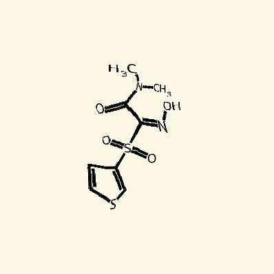 CN(C)C(=O)C(=NO)S(=O)(=O)c1ccsc1